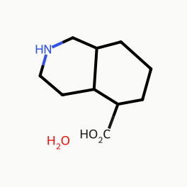 O.O=C(O)C1CCCC2CNCCC21